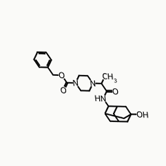 CC(C(=O)NC1C2CC3CC1CC(O)(C3)C2)N1CCN(C(=O)OCc2ccccc2)CC1